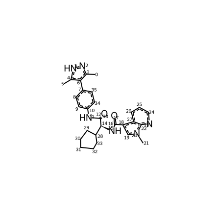 Cc1n[nH]c(C)c1-c1ccc(NC(=O)[C@@H](NC(=O)c2cn(C)c3ncccc23)C2CCCCC2)cc1